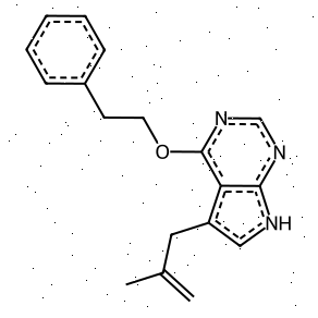 C=C(C)Cc1c[nH]c2ncnc(OCCc3ccccc3)c12